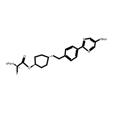 CCCCCCCCCc1cnc(-c2ccc(CC[C@H]3CC[C@H](OC(=O)[C@@H](F)CCCCC)CC3)cc2)nc1